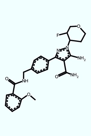 COc1ccccc1C(=O)NCc1ccc(-c2nn(C3CCOCC3F)c(N)c2C(N)=O)cc1